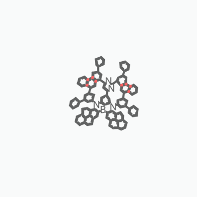 c1ccc(-c2cc(-c3ccccc3)cc(-c3cc(-c4cc5c6c(c4)N(c4cc(-c7ccccc7)cc(-c7ccccc7)c4)c4c(cc7ccc8cccc9ccc4c7c89)B6c4cc6ccc7cccc8ccc(c4N5c4cc(-c5ccccc5)cc(-c5ccccc5)c4)c6c78)nc(-c4cc(-c5ccccc5)cc(-c5ccccc5)c4)n3)c2)cc1